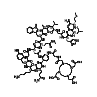 CSCC[C@H](NC(=O)[C@H](CC(C)C)NC(=O)[C@H](Cc1c[nH]cn1)NC(=O)CNC(=O)[C@@H](NC(=O)[C@H](C)NC(=O)[C@H](Cc1c[nH]c2ccccc12)NC(=O)[C@H](CCC(N)=O)NC(=O)[C@H](CC(N)=O)NC(=O)CNC(=O)[C@H](Cc1ccc(O)cc1)NC(=O)[C@H](CCCCN)NC(=O)[C@H](CCC(N)=O)NC(=O)c1ccc(NC(=O)CNC(=O)CN2CCN(CC(=O)O)CCN(CC(=O)O)CCN(CC(=O)O)CC2)cc1)C(C)C)C(N)=O